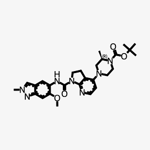 COc1cc2nn(C)cc2cc1NC(=O)N1CCc2c(N3CCN(C(=O)OC(C)(C)C)[C@H](C)C3)ccnc21